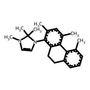 Cc1cccc2c1-c1c(C)cc(C)c(N3C=CN(C)C3(C)C)c1CC2